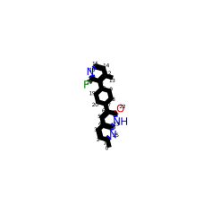 Cc1ccc2cc(C3CCC(c4c(C)ccnc4F)CC3)c(=O)[nH]c2n1